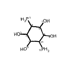 OC1C(O)C(P)C(O)C(O)C1P